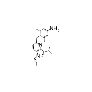 Cc1cc(N)cc(C)c1Cc1ccc2c(n1)c(C(C)C)cn2SI